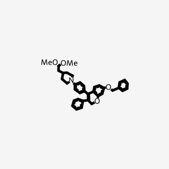 COC(CC1CCN(c2ccc(C3=C(c4ccccc4)COc4cc(OCc5ccccc5)ccc43)cc2)CC1)OC